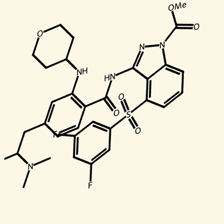 COC(=O)n1nc(NC(=O)c2ccc(CC(C)N(C)C)cc2NC2CCOCC2)c2c(S(=O)(=O)c3cc(F)cc(F)c3)cccc21